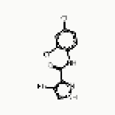 CCc1c[nH]nc1C(=O)Nc1ccc(Cl)cc1Cl